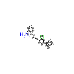 NCC(CCC#Cc1ccc(C2C3CC4CC(C3)CC2C4)cc1Cl)C1CCCCC1